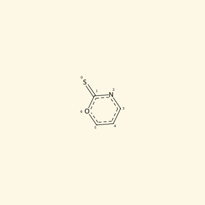 S=c1nccco1